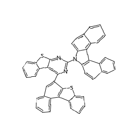 c1ccc2c(c1)cc(-c1nc(-n3c4ccc5ccccc5c4c4c5ccccc5ccc43)nc3sc4ccccc4c13)c1sc3ccccc3c12